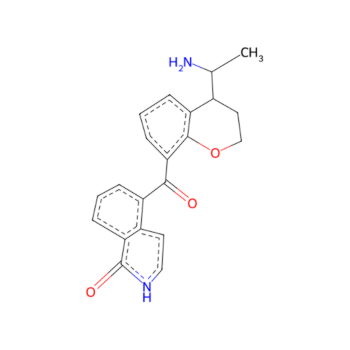 CC(N)C1CCOc2c(C(=O)c3cccc4c(=O)[nH]ccc34)cccc21